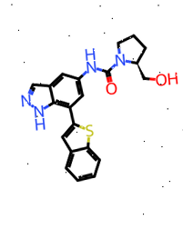 O=C(Nc1cc(-c2cc3ccccc3s2)c2[nH]ncc2c1)N1CCC[C@H]1CO